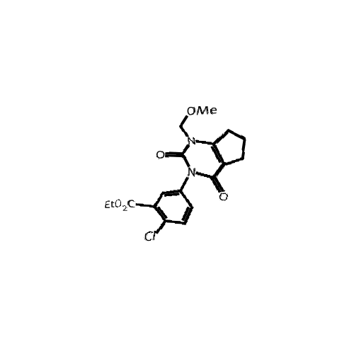 CCOC(=O)c1cc(-n2c(=O)c3c(n(COC)c2=O)CCC3)ccc1Cl